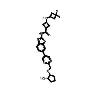 O=C(Nc1nc2ccc(-c3cnc(CO[C@H]4CCC[C@@H]4O)nc3)cc2s1)C1CC(NC2CC(F)(F)C2)C1